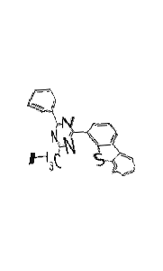 Cc1nc(-c2ccccc2)nc(-c2cccc3c2sc2ccccc23)n1